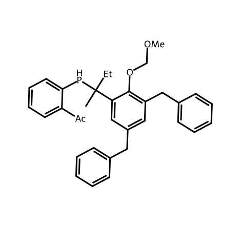 CCC(C)(Pc1ccccc1C(C)=O)c1cc(Cc2ccccc2)cc(Cc2ccccc2)c1OCOC